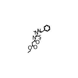 CCOC(=O)CC(=O)/N=C(\SC)N(C)/N=C/c1ccccc1